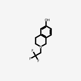 Oc1ccc2c(c1)CCN(CC(F)(F)F)C2